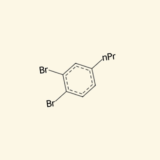 CCCc1ccc(Br)c(Br)c1